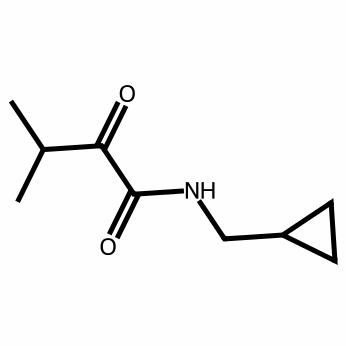 CC(C)C(=O)C(=O)NCC1CC1